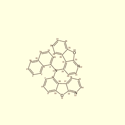 c1ccc2c(N(c3cccc4oc5ncccc5c34)c3ccnc4oc5ccccc5c34)cccc2c1